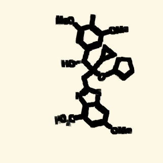 COc1cc(C(=O)O)c2nc(CC(OC3CCCC3)(C3CC3)[C@H](O)c3cc(OC)c(C)c(OC)c3)sc2c1